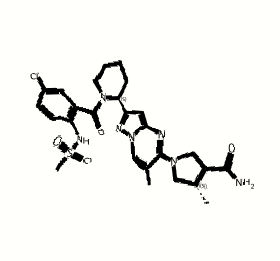 Cc1cn2nc([C@@H]3CCCCN3C(=O)c3cc(Cl)ccc3NS(C)(=O)=O)cc2nc1N1CC(C(N)=O)[C@H](C)C1